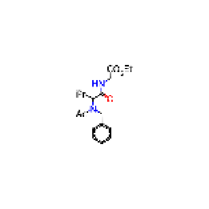 CCOC(=O)CNC(=O)C(C(C)C)N(Cc1ccccc1)C(C)=O